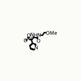 COCCNC(=O)c1no[n+]([O-])c1-c1cccnc1